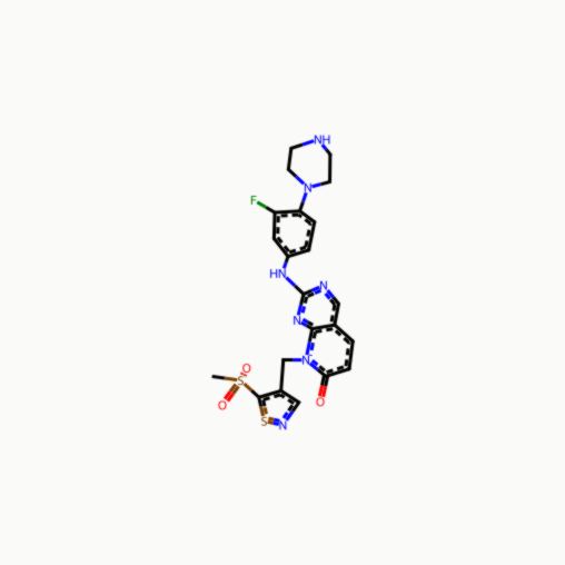 CS(=O)(=O)c1sncc1Cn1c(=O)ccc2cnc(Nc3ccc(N4CCNCC4)c(F)c3)nc21